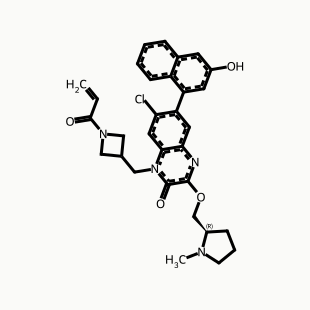 C=CC(=O)N1CC(Cn2c(=O)c(OC[C@H]3CCCN3C)nc3cc(-c4cc(O)cc5ccccc45)c(Cl)cc32)C1